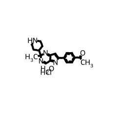 CC(=O)c1ccc(C2=CC3=NC(C)(C4CCNCC4)N=CC3=N2)cc1.Cl.O